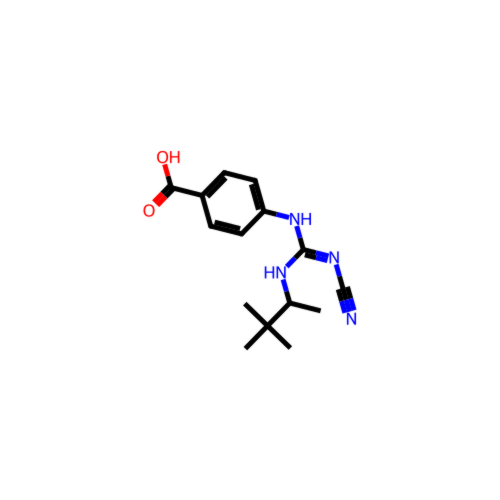 CC(N/C(=N\C#N)Nc1ccc(C(=O)O)cc1)C(C)(C)C